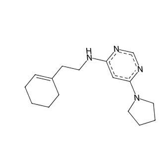 C1=C(CCNc2cc(N3CCCC3)ncn2)CCCC1